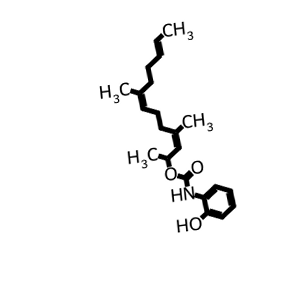 CC=CCCC(C)=CCCC(C)=CC(C)OC(=O)Nc1ccccc1O